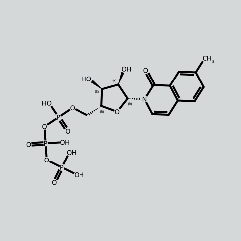 Cc1ccc2ccn([C@@H]3O[C@H](COP(=O)(O)OP(=O)(O)OP(=O)(O)O)[C@@H](O)[C@H]3O)c(=O)c2c1